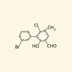 Cc1cc(C=O)c(O)c(-c2cccc(Br)c2)c1Cl